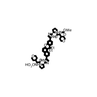 CCC1(CC)c2ccc(-c3cnc([C@H]4CCCN4C(=O)C(NC(=O)OC)C4CCOCC4)[nH]3)cc2Oc2ccc3cc(-c4cnc([C@H]5CCCN5C(=O)C(NC(=O)O)C5CCOCC5)[nH]4)ccc3c21